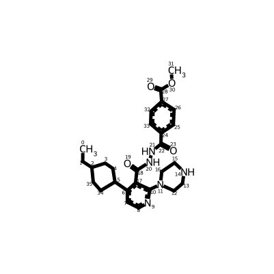 CCC1CCC(c2ccnc(N3CCNCC3)c2C(=O)NNC(=O)c2ccc(C(=O)OC)cc2)CC1